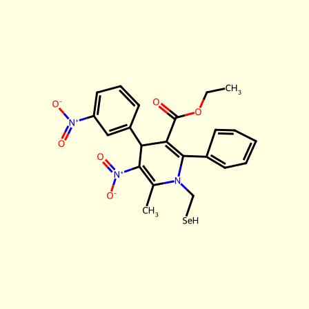 CCOC(=O)C1=C(c2ccccc2)N(C[SeH])C(C)=C([N+](=O)[O-])C1c1cccc([N+](=O)[O-])c1